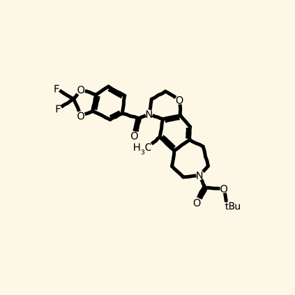 Cc1c2c(cc3c1N(C(=O)c1ccc4c(c1)OC(F)(F)O4)CCO3)CCN(C(=O)OC(C)(C)C)CC2